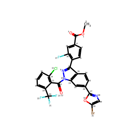 COC(=O)c1ccc(-c2nn(C(=O)c3c(Cl)cccc3C(F)(F)F)c3cc(-c4ncc(Br)o4)ccc23)c(F)c1